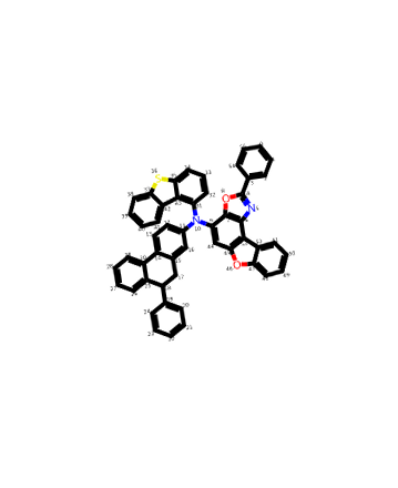 c1ccc(-c2nc3c(o2)c(N(c2ccc4c(c2)CC(c2ccccc2)c2ccccc2-4)c2cccc4sc5ccccc5c24)cc2oc4ccccc4c23)cc1